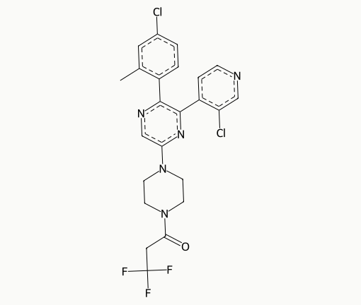 Cc1cc(Cl)ccc1-c1ncc(N2CCN(C(=O)CC(F)(F)F)CC2)nc1-c1ccncc1Cl